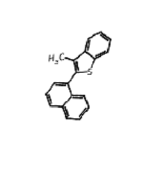 Cc1c(-c2cccc3ccccc23)sc2ccccc12